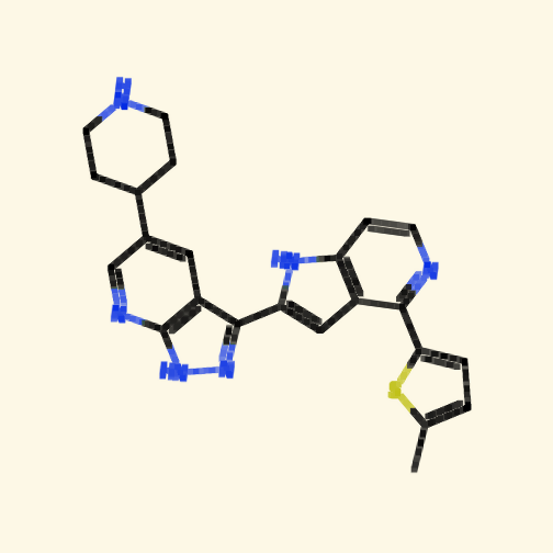 Cc1ccc(-c2nccc3[nH]c(-c4n[nH]c5ncc(C6CCNCC6)cc45)cc23)s1